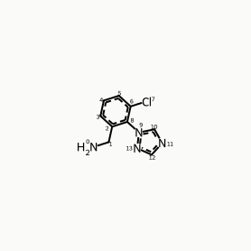 NCc1cccc(Cl)c1-n1cncn1